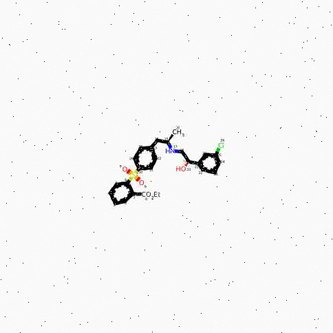 CCOC(=O)c1ccccc1S(=O)(=O)c1ccc(C[C@@H](C)NC[C@H](O)c2cccc(Cl)c2)cc1